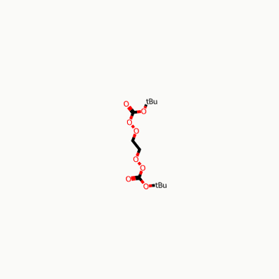 CC(C)(C)OC(=O)OOCCOOC(=O)OC(C)(C)C